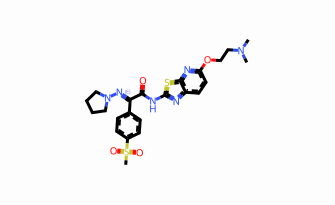 CN(C)CCOc1ccc2nc(NC(=O)/C(=N/N3CCCC3)c3ccc(S(C)(=O)=O)cc3)sc2n1